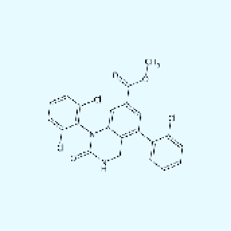 COC(=O)c1cc(-c2ccccc2Cl)c2c(c1)N(c1c(Cl)cccc1Cl)C(=O)NC2